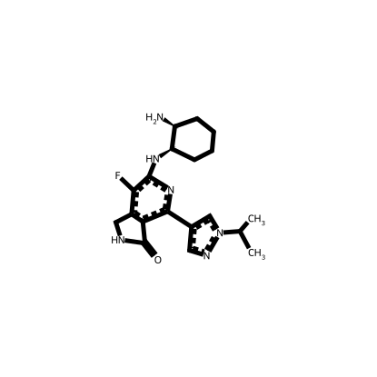 CC(C)n1cc(-c2nc(N[C@@H]3CCCC[C@@H]3N)c(F)c3c2C(=O)NC3)cn1